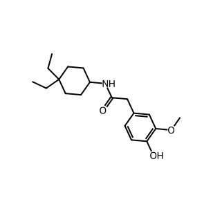 CCC1(CC)CCC(NC(=O)Cc2ccc(O)c(OC)c2)CC1